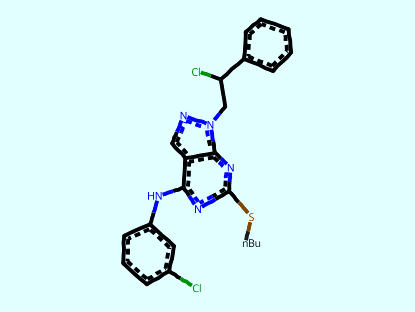 CCCCSc1nc(Nc2cccc(Cl)c2)c2cnn(CC(Cl)c3ccccc3)c2n1